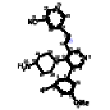 COc1cc(F)cc(-c2cncc(/C=C/c3cncc(C#N)c3)c2N2CCC(N)CC2)c1